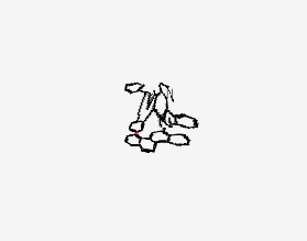 c1ccc(-n2c3ccccc3c3c2c2cccnc2c2c4ccccc4n(-c4cc5c6ccccc6ccc5c5ccccc45)c23)cc1